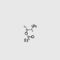 C[CH]C(=O)OC(C)CC(C)C